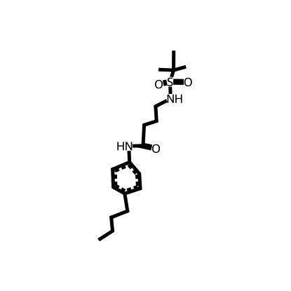 CCCCc1ccc(NC(=O)CCCNS(=O)(=O)C(C)(C)C)cc1